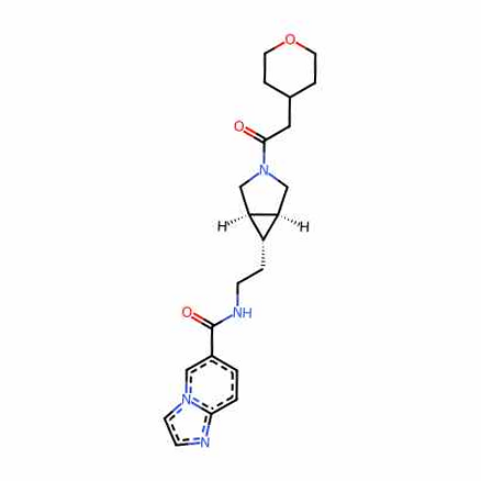 O=C(NCC[C@@H]1[C@H]2CN(C(=O)CC3CCOCC3)C[C@@H]12)c1ccc2nccn2c1